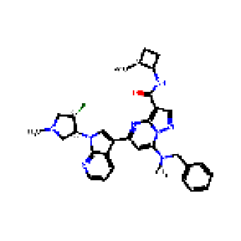 CO[C@H]1CCC1NC(=O)c1cnn2c(N(C)Cc3ccccc3)cc(-c3cn([C@H]4CN(C)C[C@@H]4F)c4ncccc34)nc12